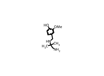 COc1cc(CNC(C)(C)CN)ccc1O